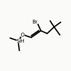 C[SiH](C)OC=C(Br)CC(C)(C)C